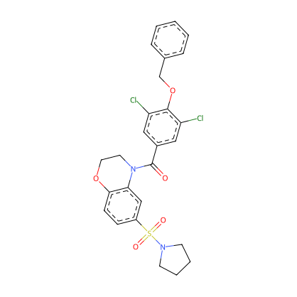 O=C(c1cc(Cl)c(OCc2ccccc2)c(Cl)c1)N1CCOc2ccc(S(=O)(=O)N3CCCC3)cc21